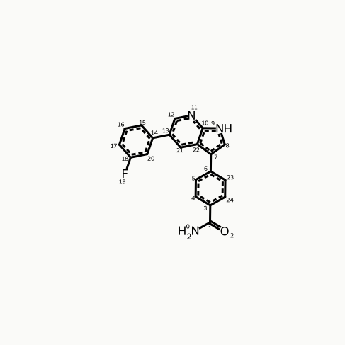 NC(=O)c1ccc(-c2c[nH]c3ncc(-c4cccc(F)c4)cc23)cc1